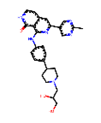 Cc1ncc(-c2cc3cc[nH]c(=O)c3c(Nc3ccc(C4CCN(CC(O)CO)CC4)cc3)n2)cn1